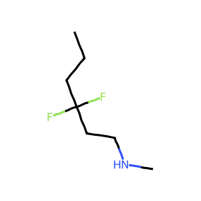 CCCC(F)(F)CCNC